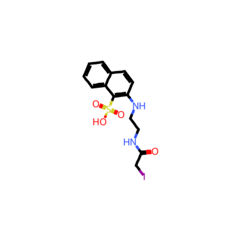 O=C(CI)NCCNc1ccc2ccccc2c1S(=O)(=O)O